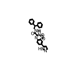 O=C(NCC(c1ccccc1)c1ccccc1)C1=Nc2ccc(-c3ccn[nH]3)cc2S(=O)(=O)N1